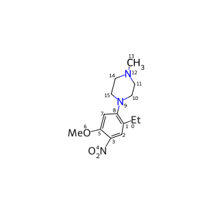 CCc1cc([N+](=O)[O-])c(OC)cc1N1CCN(C)CC1